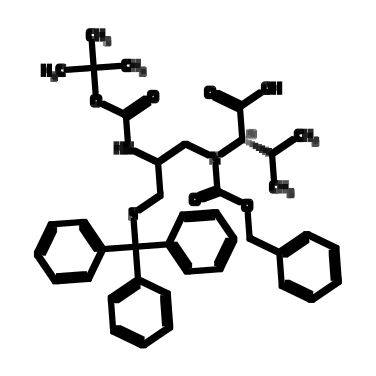 CC(C)[C@@H](C(=O)O)N(CC(CSC(c1ccccc1)(c1ccccc1)c1ccccc1)NC(=O)OC(C)(C)C)C(=O)OCc1ccccc1